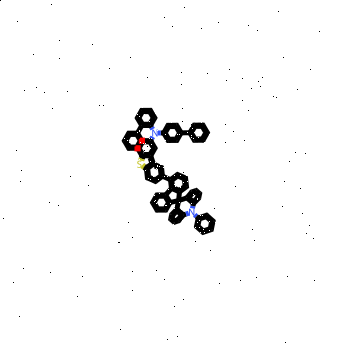 c1ccc(-c2ccc(N(c3ccc4sc5ccc(-c6cccc7c6-c6ccccc6C76c7ccccc7N(c7ccccc7)c7ccccc76)cc5c4c3)c3ccccc3-c3ccccc3)cc2)cc1